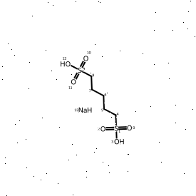 O=S(=O)(O)CCCCCS(=O)(=O)O.[NaH]